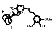 COc1cc(CCNc2ncc(C#N)c(NC[C@]34CC5C[C@H](C3)[C@@H](NC(=O)OC(C)(C)C)[C@@H](C5)C4)n2)cc(OC)c1O